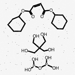 O=C(/C=C\C(=O)OC1CCCCC1)OC1CCCCC1.OCC(CO)(CO)CO.OP(O)OP(O)O